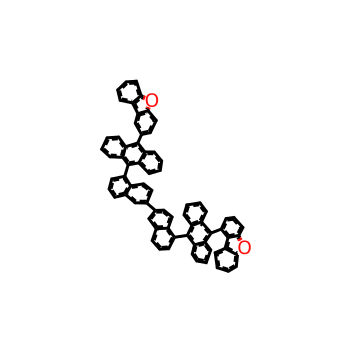 c1cc(-c2c3ccccc3c(-c3ccc4oc5ccccc5c4c3)c3ccccc23)c2ccc(-c3ccc4c(-c5c6ccccc6c(-c6cccc7oc8ccccc8c67)c6ccccc56)cccc4c3)cc2c1